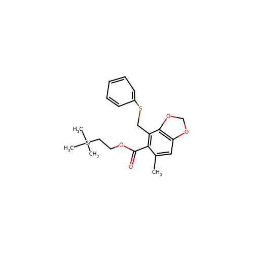 Cc1cc2c(c(CSc3ccccc3)c1C(=O)OCC[Si](C)(C)C)OCO2